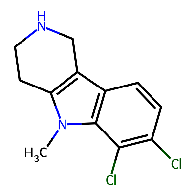 Cn1c2c(c3ccc(Cl)c(Cl)c31)CNCC2